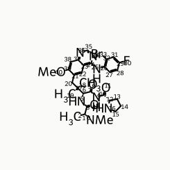 CN[C@@H](C)C(=O)N[C@H](C(=O)NC(=O)[C@@H]1CCCN1)C(C)(C)Cc1cc2c(Nc3ccc(F)cc3Br)ncnc2cc1OC